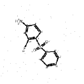 Nc1ccc(S(=O)(=O)c2ccccc2)c(F)c1